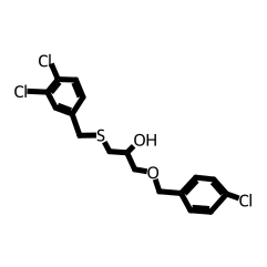 OC(COCc1ccc(Cl)cc1)CSCc1ccc(Cl)c(Cl)c1